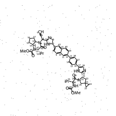 C#C[C@@H](C1=NCC(c2ccc3cc(-c4ccc(-c5cnc([C@@H]6CC7(CC7)CN6C(=O)[C@@H](NC(=O)OC)C(C)C)[nH]5)cc4)ccc3c2)N1)N(C(=O)[C@@H](NC(=O)OC)C(C)C)C1CCCC1